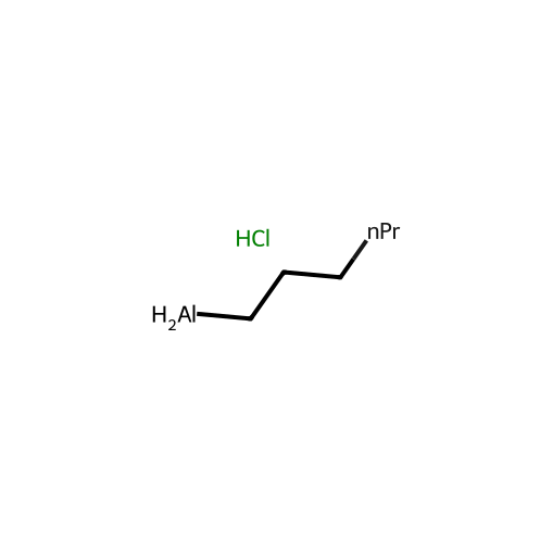 CCCCC[CH2][AlH2].Cl